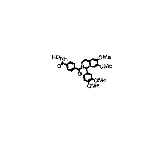 COc1ccc(C2c3cc(OC)c(OC)cc3CCN2C(=O)c2ccc(C(=O)NO)cc2)cc1OC